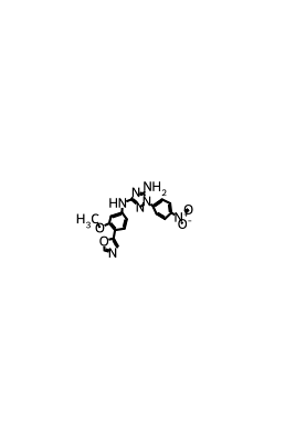 COc1cc(Nc2nc(N)n(-c3ccc([N+](=O)[O-])cc3)n2)ccc1-c1cnco1